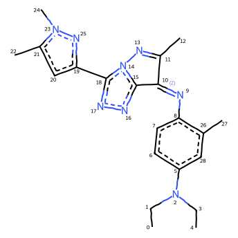 CCN(CC)c1ccc(/N=C2/C(C)=Nn3c2nnc3-c2cc(C)n(C)n2)c(C)c1